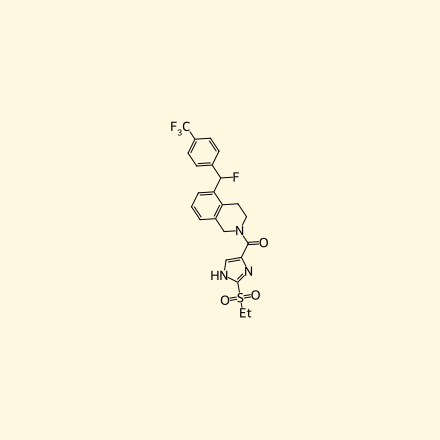 CCS(=O)(=O)c1nc(C(=O)N2CCc3c(cccc3C(F)c3ccc(C(F)(F)F)cc3)C2)c[nH]1